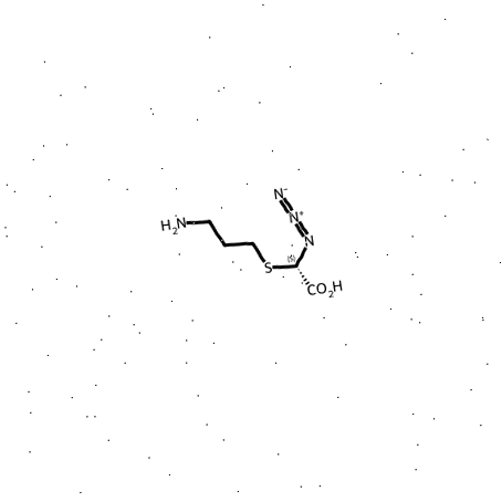 [N-]=[N+]=N[C@@H](SCCCN)C(=O)O